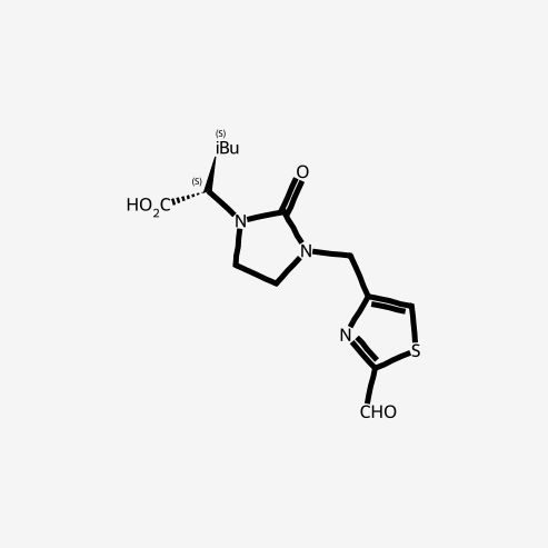 CC[C@H](C)[C@@H](C(=O)O)N1CCN(Cc2csc(C=O)n2)C1=O